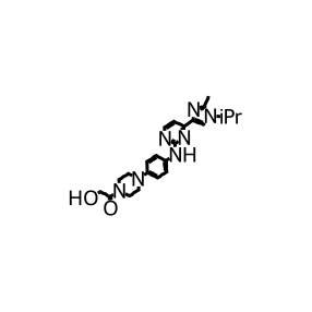 Cc1nc(-c2ccnc(Nc3ccc(N4CCN(C(=O)CO)CC4)cc3)n2)cn1C(C)C